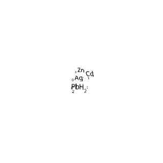 [Ag].[Cd].[PbH2].[Zn]